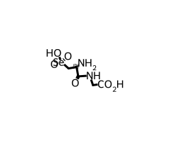 N[C@@H](C[Se](=O)(=O)O)C(=O)NCC(=O)O